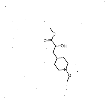 COC(=O)C(O)CC1CCN(OC)CC1